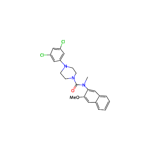 COc1cc2ccccc2cc1N(C)C(=O)N1CCN(c2cc(Cl)cc(Cl)c2)CC1